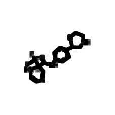 O=C(Nc1ccc(C2CNCCO2)cc1)[C@]1(C(F)(F)F)C=NC=CN1